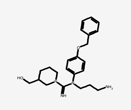 N=C(N1CCCC(CO)C1)N(CCCN)c1ccc(OCc2ccccc2)cc1